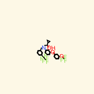 OC(CN(Cc1cccc(C(F)(F)C(F)(F)F)c1)c1cccc(Oc2cccc(OC(F)(F)F)c2)c1)C1CC1